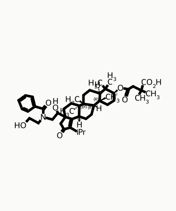 CC(C)C1=C2[C@H]3CC[C@@H]4[C@@]5(C)CC[C@H](OC(=O)CC(C)(C)C(=O)O)C(C)(C)[C@@H]5CC[C@@]4(C)[C@]3(C)CCC2(C(O)CN(CCO)C(=O)c2ccccc2)CC1=O